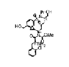 COC(=O)N(C(=O)[C@@H](N)Cc1ccccc1Cl)[C@H](CCC[C@@H](CO)N(C(C)C)S(=O)(=O)c1ccc(CO)cc1)C1CC1